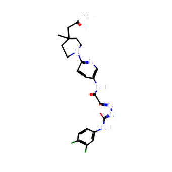 COC(=O)CC1(C)CCN(c2ccc(NC(=O)c3nnc(Nc4ccc(F)c(F)c4)o3)cn2)CC1